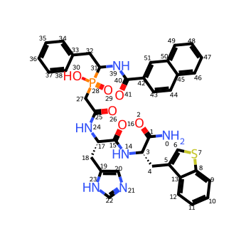 NC(=O)[C@H](Cc1csc2ccccc12)NC(=O)[C@H](Cc1cnc[nH]1)NC(=O)CP(=O)(O)C(Cc1ccccc1)NC(=O)c1ccc2ccccc2c1